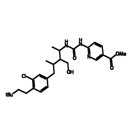 COC(=O)c1ccc(NC(=O)NC(C)C(CO)C(C)Cc2ccc(CCC(C)(C)C)c(Cl)c2)nc1